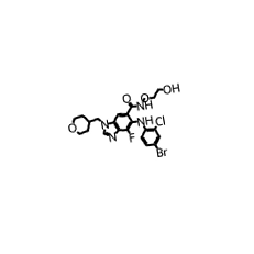 O=C(NOCCO)c1cc2c(ncn2CC2CCOCC2)c(F)c1Nc1ccc(Br)cc1Cl